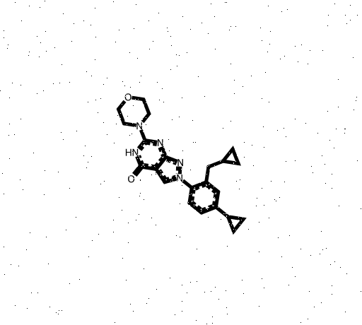 O=c1[nH]c(N2CCOCC2)nc2nn(-c3ccc(C4CC4)cc3CC3CC3)cc12